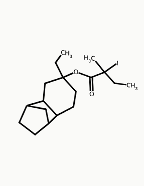 CCC1(OC(=O)C(C)(I)CC)CCC2C3CCC(C3)C2C1